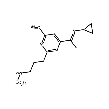 COc1cc(C(C)=NC2CC2)cc(CCCNC(=O)O)n1